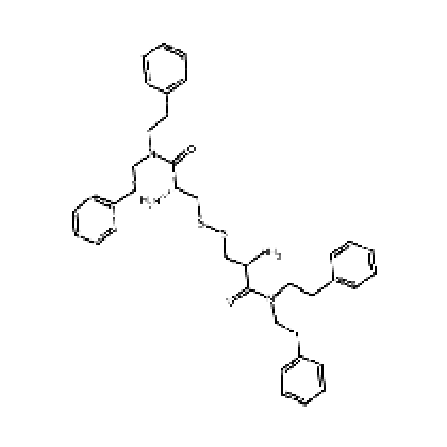 NC(CSSC[C@H](N)C(=O)N(CCc1ccccc1)CCc1ccccc1)C(=O)N(CCc1ccccc1)CCc1ccccc1